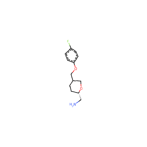 NC[C@@H]1CCC(COc2ccc(F)cc2)CO1